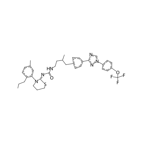 CCCc1ccc(C)cc1N1CCCS/C1=N\C(=O)NCCC(C)Cc1ccc(-c2ncn(-c3ccc(OC(F)(F)F)cc3)n2)cc1